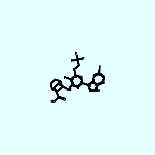 O=C(O)C1C2CCC(CC2)C1Nc1nc(-c2c[nH]c3ncc(F)cc23)nc(SCC(F)(F)F)c1F